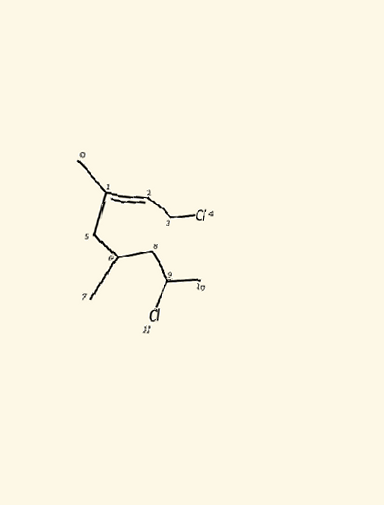 CC(=CCCl)CC(C)CC(C)Cl